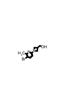 Cc1nc(N2CC(CO)C2)ccc1Br